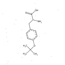 CC(C)(C)Oc1ccc(CC(N)C(=O)O)cc1